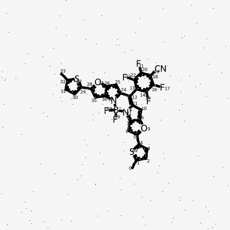 Cc1ccc(-c2cc3c(o2)=CC2=C(c4c(F)c(F)c(C#N)c(F)c4F)c4cc5oc(-c6ccc(C)s6)cc5n4[B-](F)(F)[N+]=32)s1